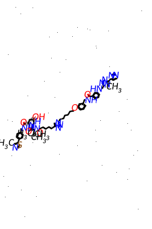 Cc1ncsc1-c1ccc(CNC(=O)[C@@H]2C[C@@H](O)CN2C(=O)C(NC(=O)CCCCc2cn(CCCCCCOc3cccc(CNC(=O)c4cccc(NCc5nnc(-c6ccncn6)n5C)c4)c3)nn2)C(C)(C)C)cc1